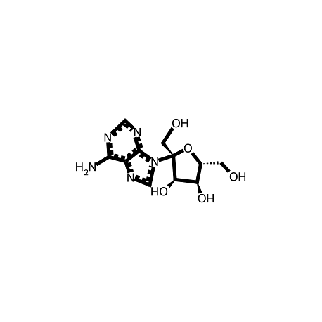 Nc1ncnc2c1ncn2[C@]1(CO)O[C@H](CO)[C@@H](O)[C@H]1O